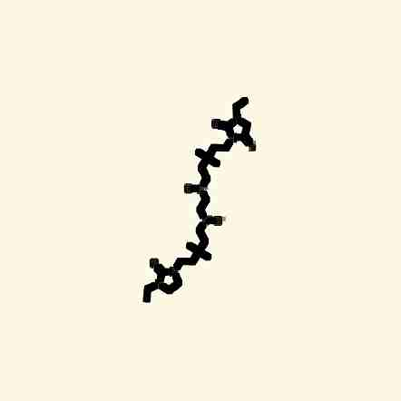 CCN1CCN(CCC(C)(C)CC[S+]([O-])CC[S+]([O-])CCC(C)(C)CCN2C(=O)N(CC)CC2=S)C1=O